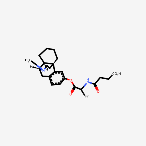 CC(C)C(NC(=O)CCC(=O)O)C(=O)Oc1ccc2c(c1)[C@@]13CCCC[C@H]1[C@@H](C2)N(C)CC3